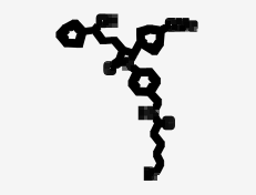 COc1ccc(C2C(CCC(O)c3ccccc3)C(=O)N2c2ccc(CNC(=O)CCCCBr)cc2)cc1